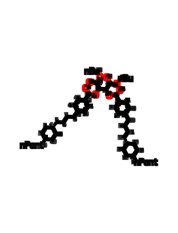 CCCCC[C@H]1CC[C@H](CCCCc2ccc(C(=O)O[C@@H](C(=O)OCCCC)[C@@H](OC(=O)c3ccc(CCCC[C@H]4CC[C@H](CCCCC)CC4)cc3)C(=O)OCCCC)cc2)CC1